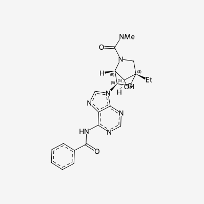 CC[C@@]12CN(C(=O)NC)[C@@H]([C@H](n3cnc4c(NC(=O)c5ccccc5)ncnc43)O1)[C@@H]2O